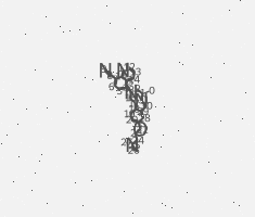 C[C@@H]1CN(c2ccc(C#N)c3ncccc23)CC2=C3CC=C(OCCN(C)C)C=C3CN21